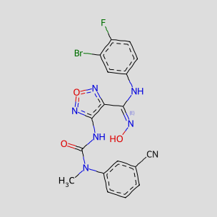 CN(C(=O)Nc1nonc1/C(=N\O)Nc1ccc(F)c(Br)c1)c1cccc(C#N)c1